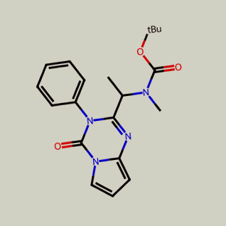 CC(c1nc2cccn2c(=O)n1-c1ccccc1)N(C)C(=O)OC(C)(C)C